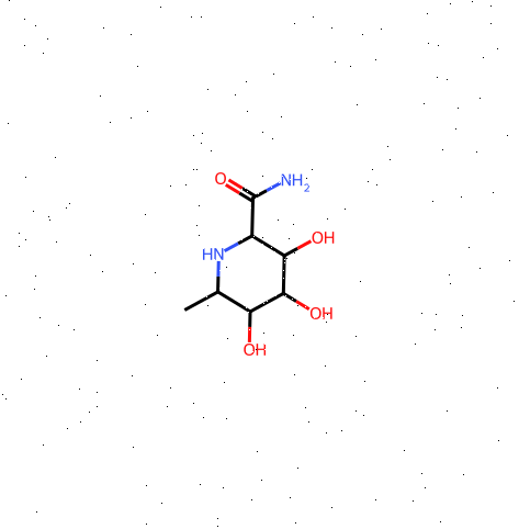 CC1NC(C(N)=O)C(O)C(O)C1O